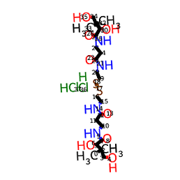 CC(C)(CO)C(O)C(=O)NCCC(=O)NCCSSCCNC(=O)CCNC(=O)C(O)C(C)(C)CO.Cl.Cl